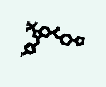 O=C(CC1CCC(N2CCCC2)CC1)N1CCc2c(C(F)(F)F)nn(Cc3ccc(F)cc3)c2C1